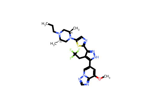 CCCN1C[C@@H](C)N(c2cnc(-c3n[nH]c(-c4cc(OC)c5ncnn5c4)c3CC(F)(F)F)s2)C[C@@H]1C